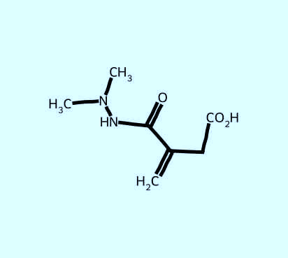 C=C(CC(=O)O)C(=O)NN(C)C